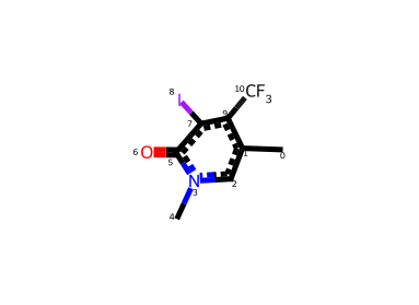 Cc1cn(C)c(=O)c(I)c1C(F)(F)F